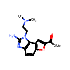 COC(=O)c1cc2c(ccc3nc(N)n(CCN(C)C)c32)o1